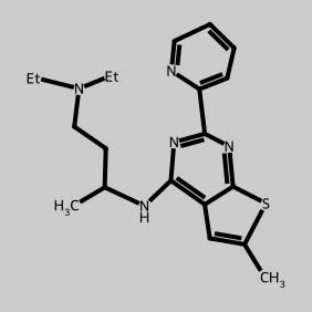 CCN(CC)CCC(C)Nc1nc(-c2ccccn2)nc2sc(C)cc12